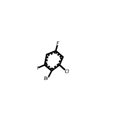 Fc1cc(Cl)c(Br)c(I)c1